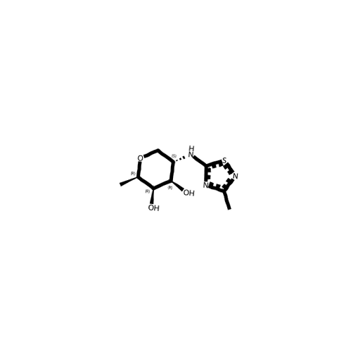 Cc1nsc(N[C@H]2CO[C@H](C)[C@H](O)[C@@H]2O)n1